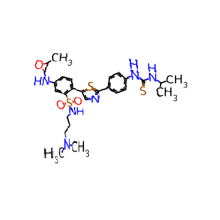 CC(C)NC(=S)Nc1ccc(-c2ncc(-c3ccc(NC4OC4C)cc3S(=O)(=O)NCCCN(C)C)s2)cc1